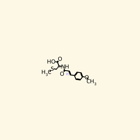 COc1ccc(/C=C/C(=O)N[C@@H](CSC)C(=O)O)cc1